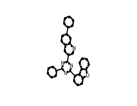 c1ccc(-c2ccc3cc(-c4nc(-c5ccccc5)nc(-c5cccc6oc7ccccc7c56)n4)cnc3c2)cc1